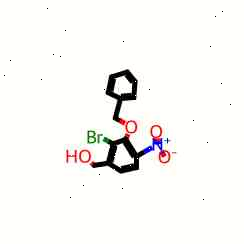 O=[N+]([O-])c1ccc(CO)c(Br)c1OCc1ccccc1